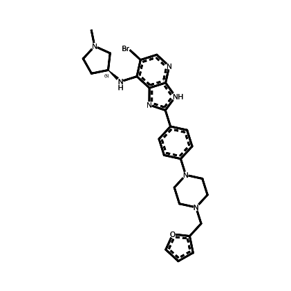 CN1CC[C@H](Nc2c(Br)cnc3[nH]c(-c4ccc(N5CCN(Cc6ccco6)CC5)cc4)nc23)C1